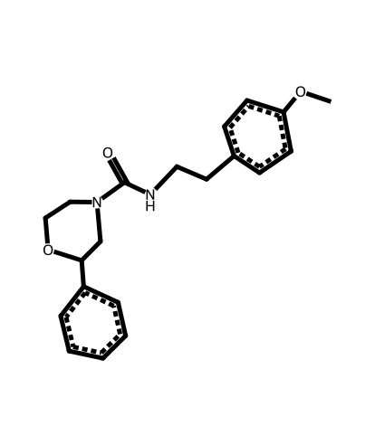 COc1ccc(CCNC(=O)N2CCOC(c3ccccc3)C2)cc1